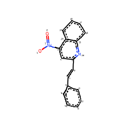 O=[N+]([O-])c1cc(C=Cc2ccccc2)nc2ccccc12